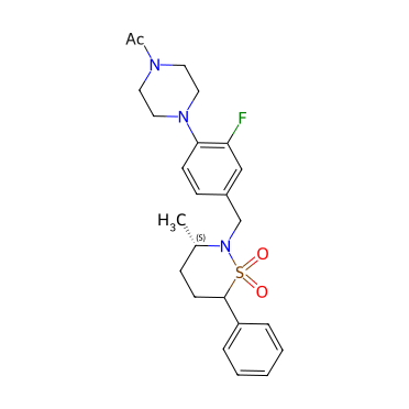 CC(=O)N1CCN(c2ccc(CN3[C@@H](C)CCC(c4ccccc4)S3(=O)=O)cc2F)CC1